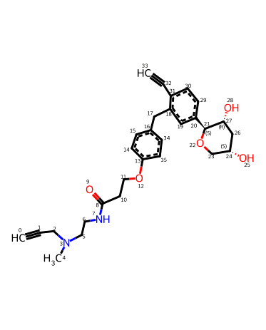 C#CCN(C)CCNC(=O)CCOc1ccc(Cc2cc([C@@H]3OC[C@@H](O)C[C@H]3O)ccc2C#C)cc1